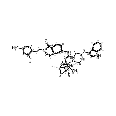 Cc1ccc(CCn2cnc3cc(NC(=N[C@H]4C[C@@H]5C[C@H]([C@@H]4C)C5(C)C)N4CCN[C@@H](Cc5c[nH]c6ccccc56)C4)ccc3c2=O)c(F)c1